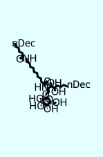 CCCCCCCCCCCCCCC(=O)NCCCCCCCCCC(=O)NC(CO[C@H]1O[C@H](CO)[C@H](O)[C@H](O)[C@H]1O)C(O)C(O)CCCCCCCCCCCCCC